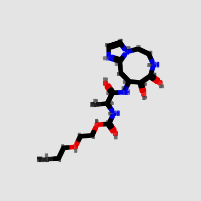 COCCOCCOC(=O)NC(C(=O)NC1Cc2nccn2CCNC(=O)C1=O)C(C)C